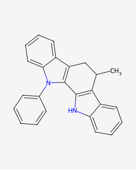 CC1Cc2c(n(-c3ccccc3)c3ccccc23)-c2[nH]c3ccccc3c21